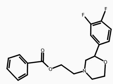 O=C(OCCN1CCOC(c2ccc(F)c(F)c2)C1)c1ccccc1